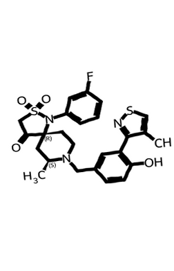 Cc1csnc1-c1cc(CN2CC[C@@]3(C[C@@H]2C)C(=O)CS(=O)(=O)N3c2cccc(F)c2)ccc1O